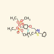 CCOP(=O)(OCC)OC(c1ccc(OCCc2nc(-c3ccccc3)sc2C)c(F)c1)P(=O)(OCC)OCC